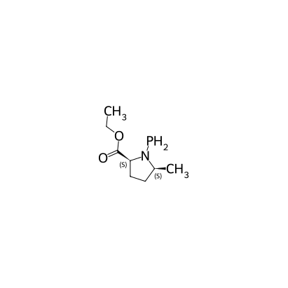 CCOC(=O)[C@@H]1CC[C@H](C)N1P